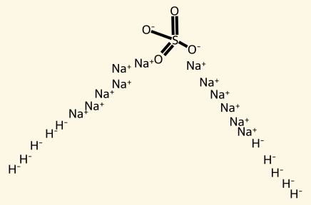 O=S(=O)([O-])[O-].[H-].[H-].[H-].[H-].[H-].[H-].[H-].[H-].[H-].[H-].[Na+].[Na+].[Na+].[Na+].[Na+].[Na+].[Na+].[Na+].[Na+].[Na+].[Na+].[Na+]